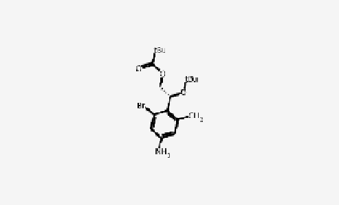 Cc1cc(N)cc(Br)c1[C@H](COC(=O)C(C)(C)C)OC(C)(C)C